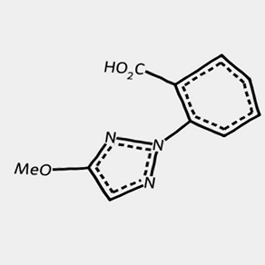 COc1cnn(-c2ccccc2C(=O)O)n1